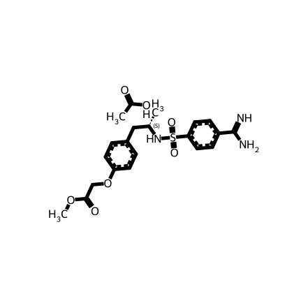 CC(=O)O.COC(=O)COc1ccc(C[C@H](C)NS(=O)(=O)c2ccc(C(=N)N)cc2)cc1